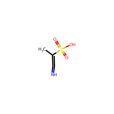 CC(=C=N)S(=O)(=O)O